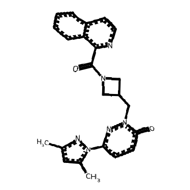 Cc1cc(C)n(-c2ccc(=O)n(CC3CN(C(=O)c4nccc5ccccc45)C3)n2)n1